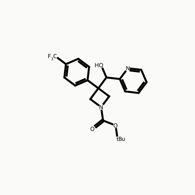 CC(C)(C)OC(=O)N1CC(c2ccc(C(F)(F)F)cc2)(C(O)c2ccccn2)C1